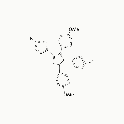 COc1ccc(C2C=C(c3ccc(F)cc3)N(c3ccc(OC)cc3)C2c2ccc(F)cc2)cc1